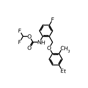 CCc1ccc(OCc2cc(F)ccc2NC(=O)OC(F)F)c(C)c1